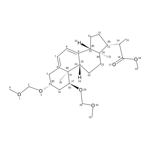 COCO[C@@H]1CC2=CC=C3[C@@H]4CC[C@H](C(C)C(=O)OC)[C@@]4(C)CC[C@@H]3[C@@]2(C)[C@@H](OCOC)C1